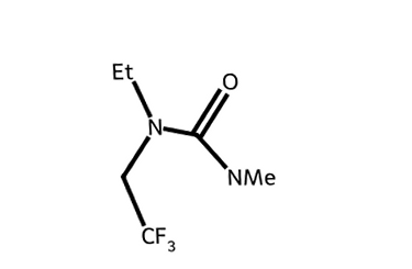 CCN(CC(F)(F)F)C(=O)NC